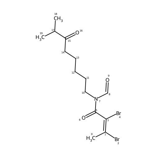 C/C(Br)=C(/Br)C(=O)N(C=O)CCCCCC(=O)C(C)C